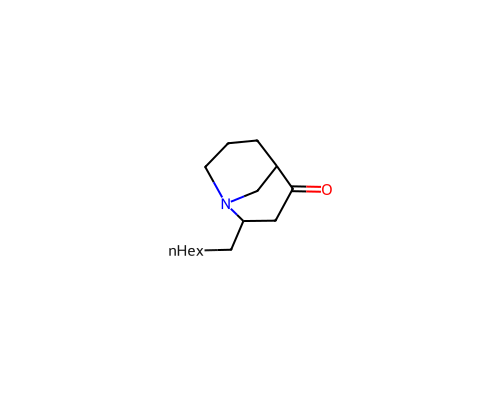 CCCCCCCC1CC(=O)C2CCCN1C2